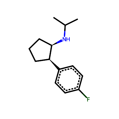 CC(C)N[C@@H]1CCC[C@@H]1c1ccc(F)cc1